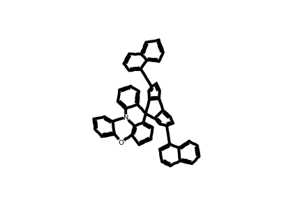 c1ccc2c(c1)Oc1cccc3c1N2c1ccccc1C31c2cc(-c3cccc4ccccc34)ccc2-c2ccc(-c3cccc4ccccc34)cc21